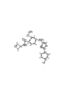 CC(C)Oc1cc(Nc2ncn(-c3ccc(F)cc3)n2)ccc1C(=O)NC1COC1